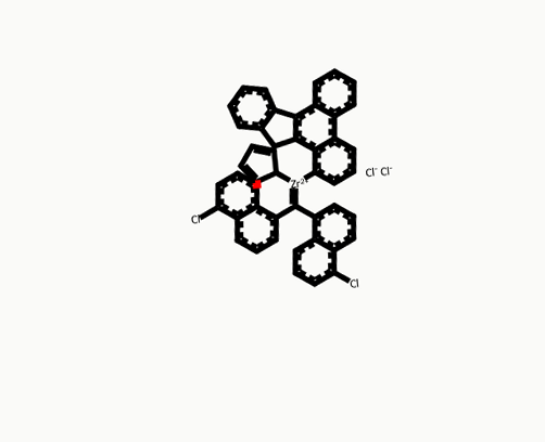 Clc1cccc2c([C](c3cccc4c(Cl)cccc34)=[Zr+2]([c]3cccc4c3c3c(c5ccccc54)-c4ccccc4C3)[CH]3C=CC=C3)cccc12.[Cl-].[Cl-]